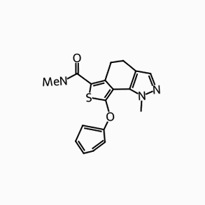 CNC(=O)c1sc(Oc2ccccc2)c2c1CCc1cnn(C)c1-2